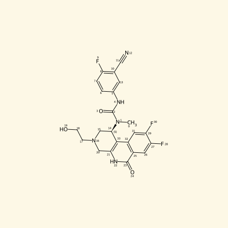 CN(C(=O)Nc1ccc(F)c(C#N)c1)[C@@H]1CN(CCO)Cc2[nH]c(=O)c3cc(F)c(F)cc3c21